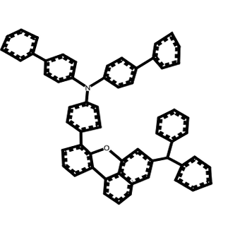 c1ccc(-c2ccc(N(c3ccc(-c4ccccc4)cc3)c3ccc(-c4cccc5c4Oc4cc(C(c6ccccc6)c6ccccc6)cc6cccc-5c46)cc3)cc2)cc1